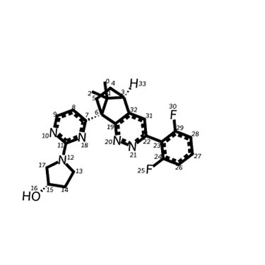 CC1(C)[C@H]2CC[C@]1(c1ccnc(N3CC[C@H](O)C3)n1)c1nnc(-c3c(F)cccc3F)cc12